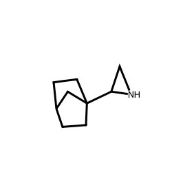 C1CC2(C3CN3)CCC1C2